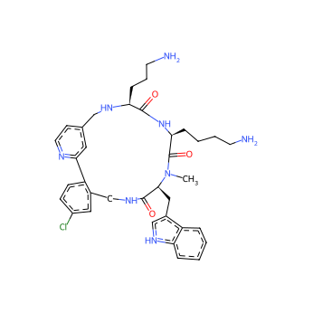 CN1C(=O)[C@H](CCCCN)NC(=O)[C@H](CCCN)NCc2ccnc(c2)-c2ccc(Cl)cc2CNC(=O)[C@@H]1Cc1c[nH]c2ccccc12